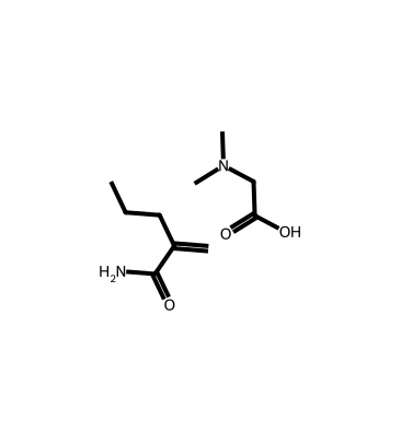 C=C(CCC)C(N)=O.CN(C)CC(=O)O